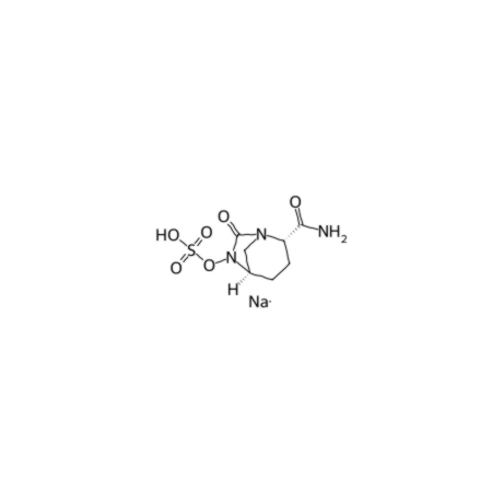 NC(=O)[C@@H]1CC[C@@H]2CN1C(=O)N2OS(=O)(=O)O.[Na]